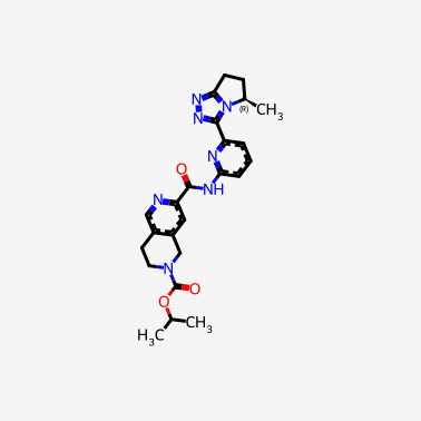 CC(C)OC(=O)N1CCc2cnc(C(=O)Nc3cccc(-c4nnc5n4[C@H](C)CC5)n3)cc2C1